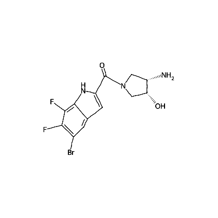 N[C@H]1CN(C(=O)c2cc3cc(Br)c(F)c(F)c3[nH]2)C[C@H]1O